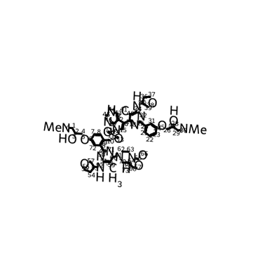 CNCC(O)COc1ccc(CS(=O)(=O)n2cc(-c3nc(-c4cccc(OC[C@H](O)CNC)c4)nc(N[C@@H]4CCOC4)c3C)c3cncnc32)c(-c2nc(NC3CCOC3)c(C)c(N3CCN4C(=O)OC[C@@H]4C3)n2)c1